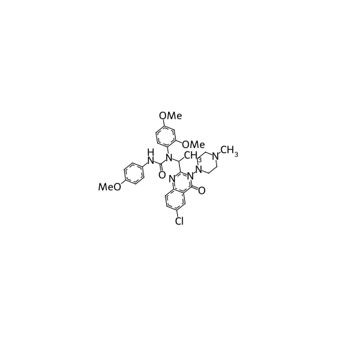 COc1ccc(NC(=O)N(c2ccc(OC)cc2OC)C(C)c2nc3ccc(Cl)cc3c(=O)n2N2CCN(C)CC2)cc1